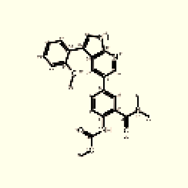 COC(=O)Nc1ccc(-c2cnc3[nH]cc(-c4ccccc4OC)c3c2)cc1C(=O)N(C)C